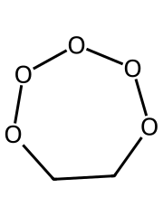 C1COOOOO1